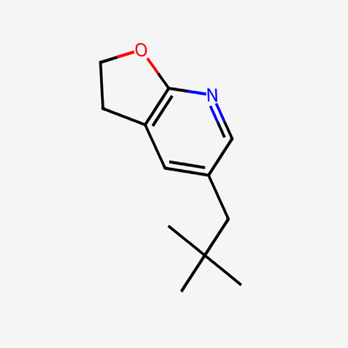 CC(C)(C)Cc1cnc2c(c1)CCO2